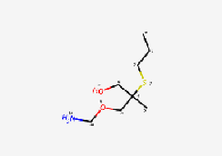 CCCSC(C)(CO)COCN